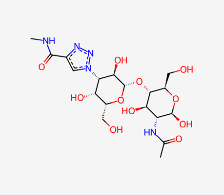 CNC(=O)c1cn([C@H]2[C@@H](O)[C@@H](CO)O[C@@H](O[C@H]3[C@H](O)[C@@H](NC(C)=O)[C@H](O)O[C@@H]3CO)[C@@H]2O)nn1